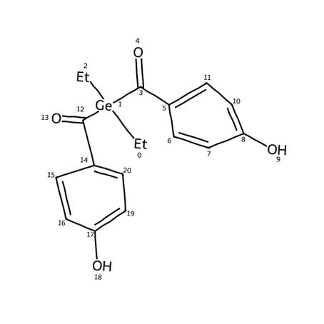 C[CH2][Ge]([CH2]C)([C](=O)c1ccc(O)cc1)[C](=O)c1ccc(O)cc1